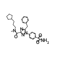 CN(CCCC1CCCC1)C(=O)c1nc(Cc2ccccc2)n(-c2ccc(S(N)(=O)=O)cc2)n1